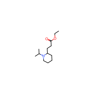 CCOC(=O)CCC1CCCCN1C(C)C